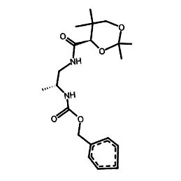 C[C@H](CNC(=O)[C@@H]1OC(C)(C)OCC1(C)C)NC(=O)OCc1ccccc1